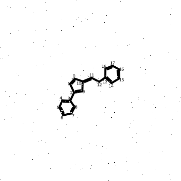 [C]1=CC(c2ccccc2)=CC1=CCc1ccccc1